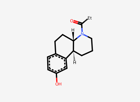 CCC(=O)N1CCC[C@H]2c3cc(O)ccc3CC[C@@H]21